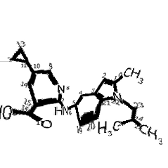 Cc1cc2cc(Nc3ncc(C4CC4)cc3C(=O)O)ccc2n1CC(C)C